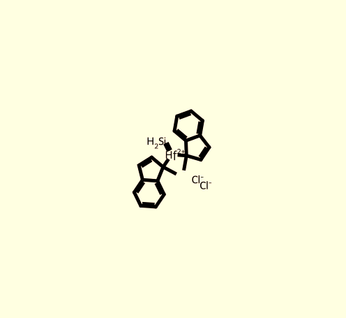 C[C]1([Hf+2](=[SiH2])[C]2(C)C=Cc3ccccc32)C=Cc2ccccc21.[Cl-].[Cl-]